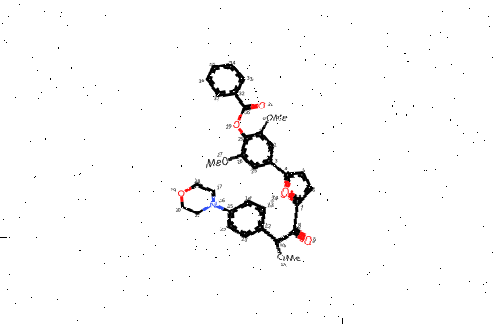 COc1cc(-c2ccc(C(=O)C(OC)c3ccc(N4CCOCC4)cc3)o2)cc(OC)c1OC(=O)c1ccccc1